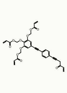 C=CC(=O)CC#Cc1ccc(C#Cc2cc(OCOC(=O)C=C)c(OCOC(=O)C=C)c(OCOC(=O)C=C)c2)cc1